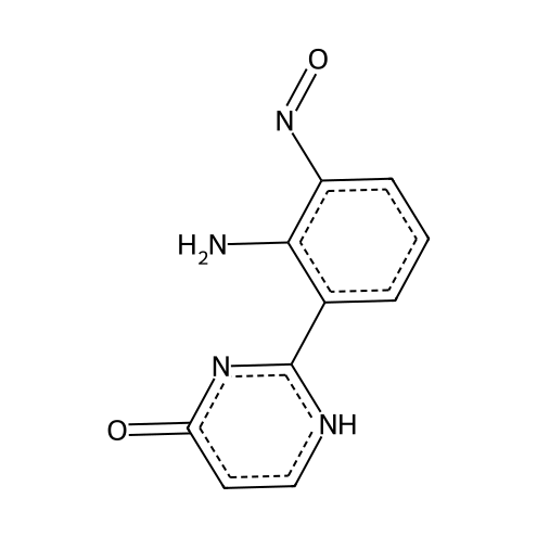 Nc1c(N=O)cccc1-c1nc(=O)cc[nH]1